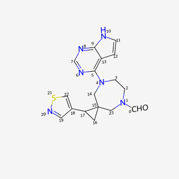 O=CN1CCN(c2ncnc3[nH]ccc23)CC2(CC2c2cnsc2)C1